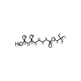 CC(C)(C)COC(=O)CCCCC(=O)CC(=O)O